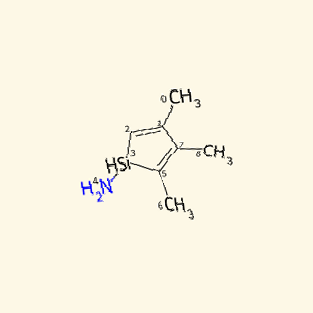 CC1=C[SiH](N)C(C)=C1C